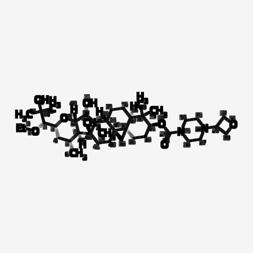 CCO[C@@H]([C@H]1C[C@@H](C)[C@H]2[C@H](O1)[C@H](O)[C@@]1(C)[C@@H]3CC[C@H]4C(C)(C)[C@@H](OC(=O)N5CCN(C6COC6)CC5)CC[C@@]45C[C@@]35CC[C@]21C)C(C)(C)O